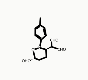 Cc1ccc(N2O[C@@H](C=O)CC[C@@H]2C(C=O)C=O)cc1